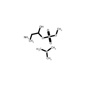 CCC(O)OS(=O)(=O)OC.CN(C)C.N